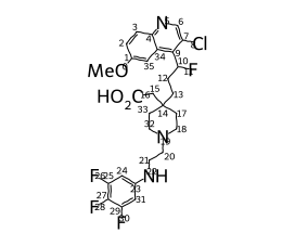 COc1ccc2ncc(Cl)c(C(F)CCC3(CC(=O)O)CCN(CCNc4cc(F)c(F)c(F)c4)CC3)c2c1